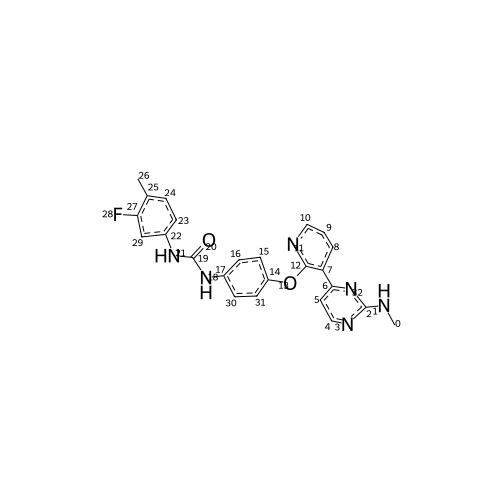 CNc1nccc(-c2cccnc2Oc2ccc(NC(=O)Nc3ccc(C)c(F)c3)cc2)n1